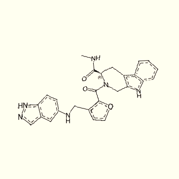 CNC(=O)[C@H]1Cc2c([nH]c3ccccc23)CN1C(=O)c1occc1CNc1ccc2[nH]ncc2c1